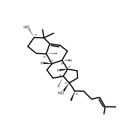 CC(C)=CCC[C@@H](C)[C@@]1(O)CC[C@H]2[C@@H]3CC=C4C(C)(C)[C@@H](O)CC[C@]4(C)[C@H]3CC[C@@]21C